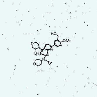 COc1ccc(-c2ccc3c(N4CCOCC4C)nc(N(C4CCOCC4)C4CC4)nc3n2)cc1CO